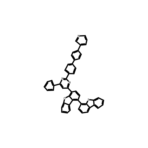 c1ccc(-c2cc(-c3ccc(-c4cccc5c4sc4ccccc45)c4c3oc3ccccc34)nc(-c3ccc(-c4ccc(-c5cccnc5)cc4)cc3)n2)cc1